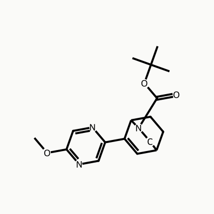 COc1cnc(C2=CC3CCC2N(C(=O)OC(C)(C)C)C3)cn1